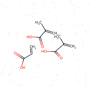 C=C(C)C(=O)O.C=C(C)C(=O)O.C=CC(=O)O